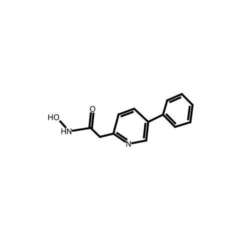 O=C(Cc1ccc(-c2ccccc2)cn1)NO